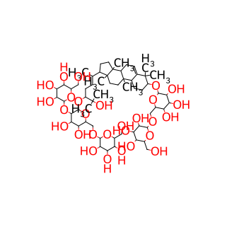 CC(CCC(OC1OC(COC2OC(CO)C(O)C(O)C2O)C(O)C(O)C1OC1OC(CO)C(O)C(O)C1O)C(C)(C)O)C1CCC2(C)C3CC=C4C(CCC(OC5OC(COC6OC(CO)C(O)C(O)C6O)C(O)C(O)C5O)C4(C)C)C3(C)CCC12C